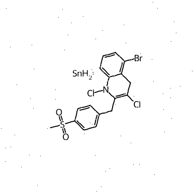 CS(=O)(=O)c1ccc(CC2=C(Cl)Cc3c(Br)cccc3N2Cl)cc1.[SnH2]